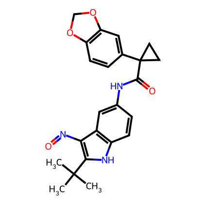 CC(C)(C)c1[nH]c2ccc(NC(=O)C3(c4ccc5c(c4)OCO5)CC3)cc2c1N=O